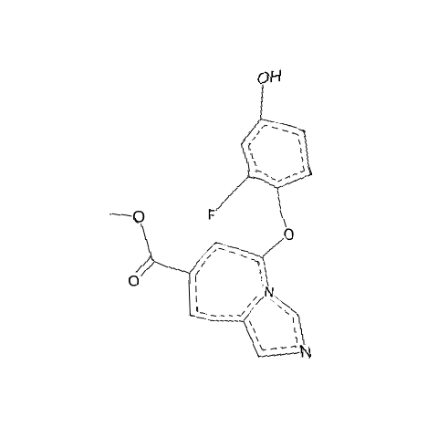 COC(=O)c1cc(Oc2ccc(O)cc2F)n2cncc2c1